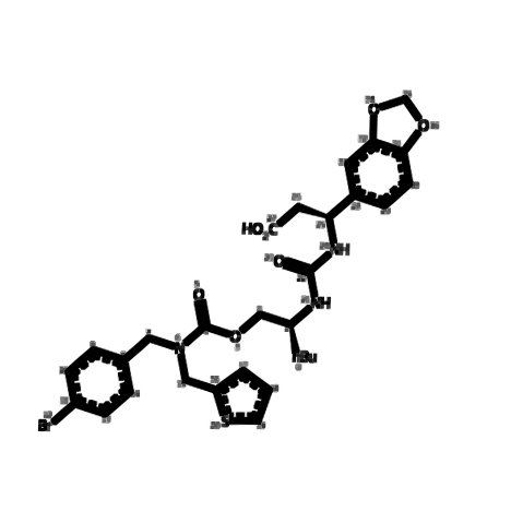 CCCC[C@@H](COC(=O)N(Cc1ccc(Br)cc1)Cc1cccs1)NC(=O)N[C@@H](CC(=O)O)c1ccc2c(c1)OCO2